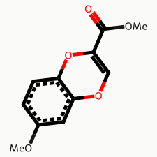 COC(=O)C1=COc2cc(OC)ccc2O1